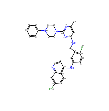 Cc1cc(NCc2cc(Nc3ccnc4cc(Cl)ccc34)ccc2F)nc(N2CCN(c3ccccc3)CC2)n1